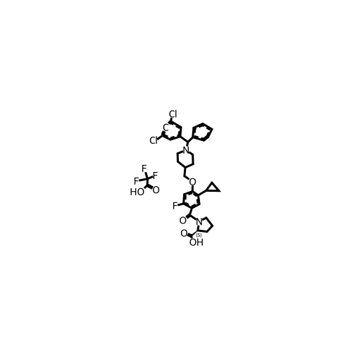 O=C(O)C(F)(F)F.O=C(O)[C@@H]1CCCN1C(=O)c1cc(C2CC2)c(OCC2CCN(C(c3ccccc3)c3cc(Cl)cc(Cl)c3)CC2)cc1F